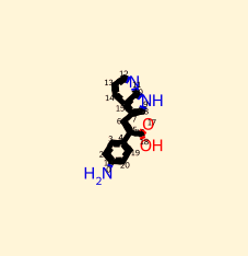 Nc1ccc(/C(=C/c2c[nH]c3ncccc23)C(=O)O)cc1